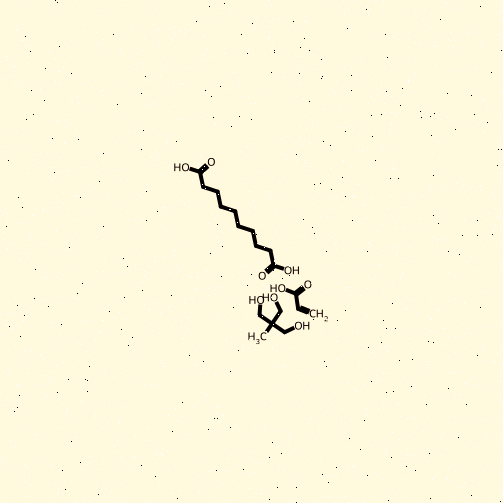 C=CC(=O)O.CC(CO)(CO)CO.O=C(O)CCCCCCCCC(=O)O